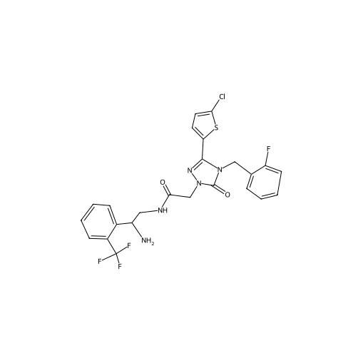 NC(CNC(=O)Cn1nc(-c2ccc(Cl)s2)n(Cc2ccccc2F)c1=O)c1ccccc1C(F)(F)F